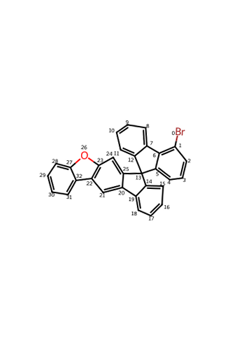 Brc1cccc2c1-c1ccccc1C21c2ccccc2-c2cc3c(cc21)oc1ccccc13